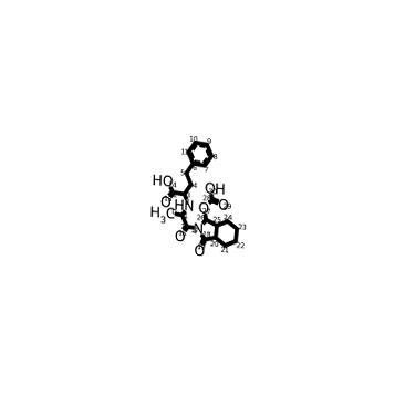 CC(NC(CCc1ccccc1)C(=O)O)C(=O)N1C(=O)C2CCCCC2C1OC(=O)O